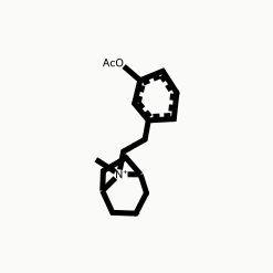 CC(=O)Oc1cccc(CC[N+]2(C)C3C[CH]CC2CC3)c1